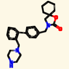 O=C1OC2(CCCCC2)CN1Cc1ccc(-c2ccccc2CN2CCNCC2)cc1